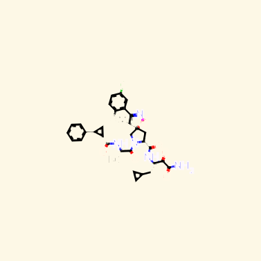 COc1ccc(Cl)cc1C1=NO[C@]2(C1)C[C@@H](C(=O)N[C@@H](CC1CC1)C(=O)C(N)=O)N(C(=O)[C@@H](NC(=O)[C@H]1C[C@@H]1c1ccccc1)C(C)(C)C)C2